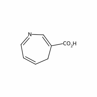 O=C(O)C1=CN=CC=CC1